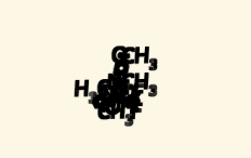 COc1cccc(C)c1C(O)CN(Cc1cc(F)cc(F)c1)C(=O)c1cnn([C@H]2CC[C@H](C(C)=O)CC2)c1C